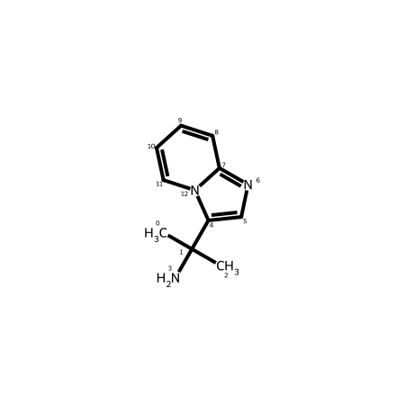 CC(C)(N)c1cnc2ccccn12